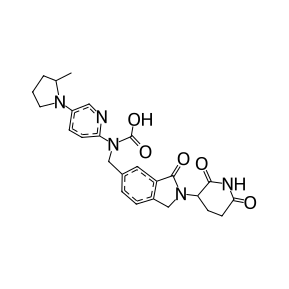 CC1CCCN1c1ccc(N(Cc2ccc3c(c2)C(=O)N(C2CCC(=O)NC2=O)C3)C(=O)O)nc1